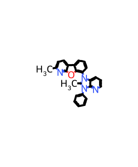 Cc1ccc2c(n1)oc1c(N3c4cccnc4N(c4ccccc4)C3C)cccc12